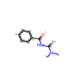 CN(C)C(=S)NC(=O)c1ccccc1